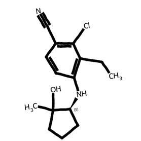 CCc1c(N[C@H]2CCCC2(C)O)ccc(C#N)c1Cl